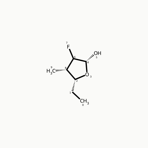 CC[C@H]1O[C@@H](O)C(F)[C@H]1C